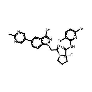 CCc1ccc(Br)nc1NC(=O)[C@@]1(F)CCCN1C(=O)Cn1nc(C(C)=O)c2cc(-c3cnc(C)nc3)ccc21